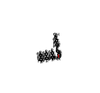 CCCCCCC(F)(F)C(F)(F)C(F)(F)P(CCC(CC)CCCC)c1ccc(F)cc1F.Fc1ccc(-c2c(F)c(F)c(F)c(F)c2F)c(F)c1F.Fc1ccc(-c2c(F)c(F)c(F)c(F)c2F)c(F)c1F.Fc1ccc(-c2c(F)c(F)c(F)c(F)c2F)c(F)c1F.Fc1ccc(-c2c(F)c(F)c(F)c(F)c2F)c(F)c1F.[O]=[Al][OH]